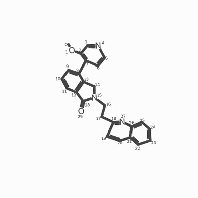 COc1cnccc1-c1cccc2c1CN(CCc1ccc3ccccc3n1)C2=O